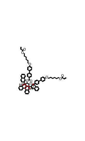 C=CC(=O)OCCCCCCOc1ccc(-c2ccc(C(=O)O[C@@H]([C@H](OC(=O)c3ccc(-c4ccc(OCCCCCCOC(=O)C=C)cc4)cc3)C(O)(c3ccc4ccccc4c3)c3ccc4ccccc4c3)C(O)(c3ccc4ccccc4c3)c3ccc4ccccc4c3)cc2)cc1